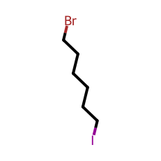 BrCCCCCCI